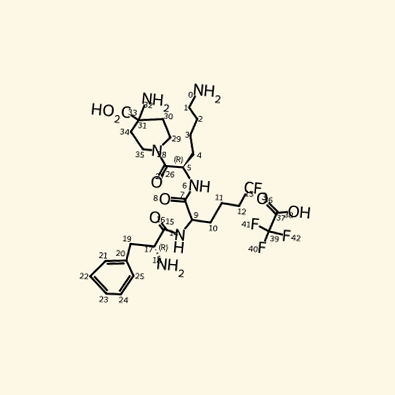 NCCCC[C@@H](NC(=O)C(CCCC(F)(F)F)NC(=O)[C@H](N)Cc1ccccc1)C(=O)N1CCC(N)(C(=O)O)CC1.O=C(O)C(F)(F)F